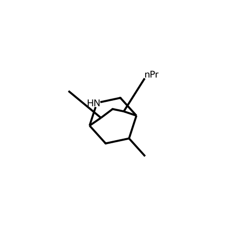 CCCC1CC(C)C2CC(C)C1CN2